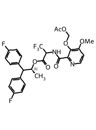 COc1ccnc(C(=O)NC(C(=O)O[C@@H](C)C(c2ccc(F)cc2)c2ccc(F)cc2)C(F)(F)F)c1OCOC(C)=O